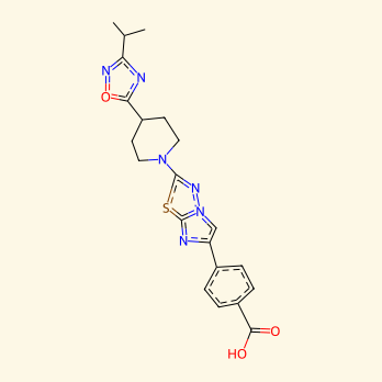 CC(C)c1noc(C2CCN(c3nn4cc(-c5ccc(C(=O)O)cc5)nc4s3)CC2)n1